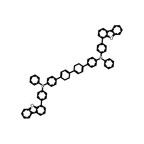 C1=C(C2=CC=C(c3ccc(N(c4ccccc4)c4ccc(-c5cccc6c5oc5ccccc56)cc4)cc3)CC2)CCC(c2ccc(N(c3ccccc3)c3ccc(-c4cccc5c4oc4ccccc45)cc3)cc2)=C1